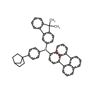 CC1(C)c2ccccc2-c2cc(N(c3ccc(-c4cccc5cccc(-c6ccccc6)c45)cc3)c3ccc(C45CCC(CC4)C5)cc3)ccc21